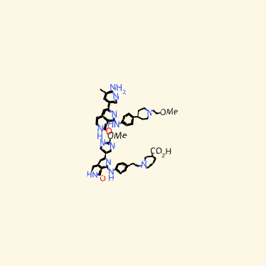 COCCN1CCC(c2ccc(Nc3nc(-c4cnc(N)c(C)c4)cc4cc[nH]c(=O)c34)cc2)CC1.COc1ncc(-c2cc3cc[nH]c(=O)c3c(Nc3ccc(CCN4CCCC(C(=O)O)C4)cc3)n2)cn1